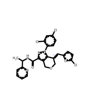 CC(NC(=O)c1nn(-c2ccc(Cl)cc2Cl)c2c1COC/C2=C\c1ccc(Cl)o1)c1ccccn1